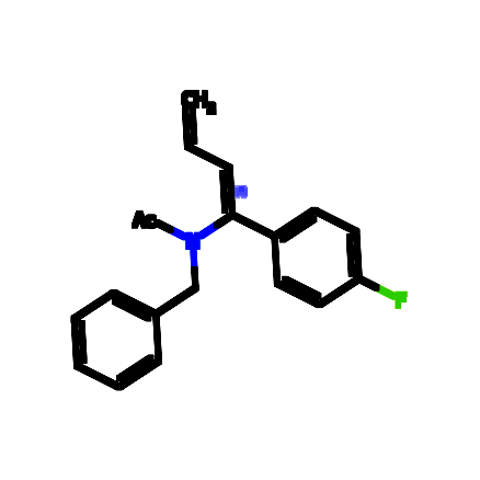 C=C/C=C(/c1ccc(F)cc1)N(Cc1ccccc1)C(C)=O